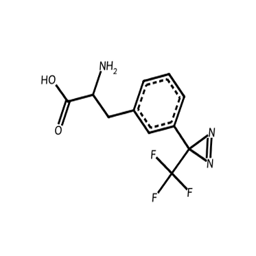 NC(Cc1cccc(C2(C(F)(F)F)N=N2)c1)C(=O)O